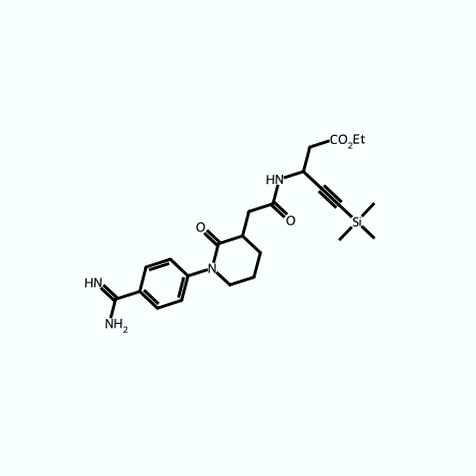 CCOC(=O)CC(C#C[Si](C)(C)C)NC(=O)CC1CCCN(c2ccc(C(=N)N)cc2)C1=O